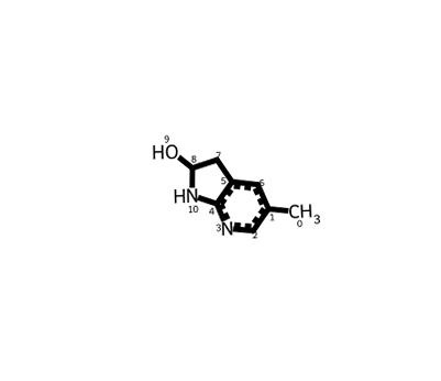 Cc1cnc2c(c1)CC(O)N2